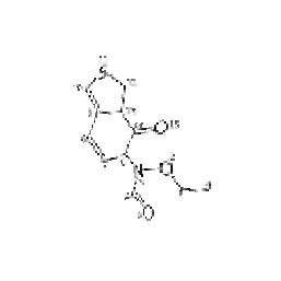 CCON(C=O)C1C=CC2=CSCC2C1=O